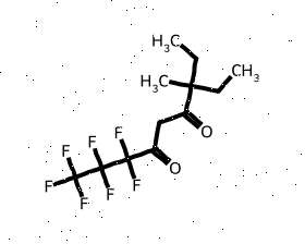 CCC(C)(CC)C(=O)CC(=O)C(F)(F)C(F)(F)C(F)(F)F